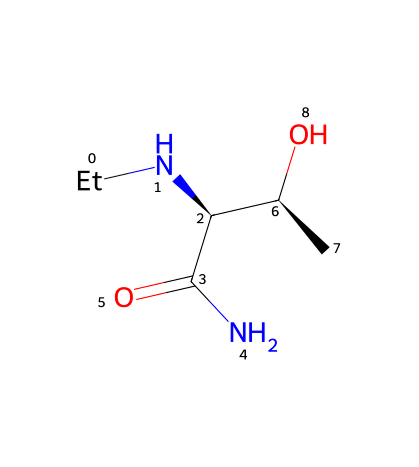 CCN[C@H](C(N)=O)[C@H](C)O